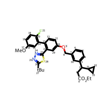 CCOC(=O)CC(c1cccc(COc2ccc(-c3cc(OC)ccc3F)c(-c3nnc(C(C)(C)C)s3)c2)c1)C1CC1